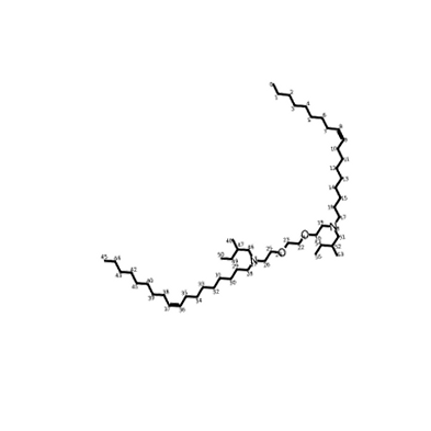 CCCCCCCC/C=C\CCCCCCCCN(CCOCCOCCN(CCCCCCCC/C=C\CCCCCCCC)CC(C)CC)CC(C)CC